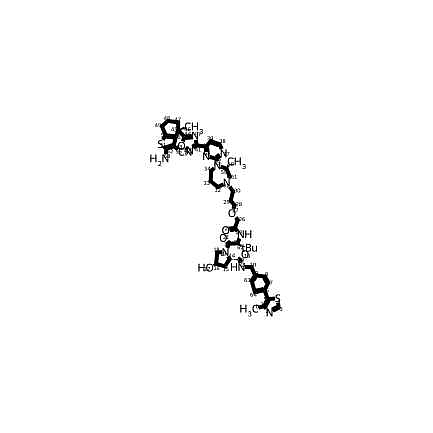 Cc1ncsc1-c1ccc(CNC(=O)[C@@H]2C[C@@H](O)CN2C(=O)[C@@H](NC(=O)COCCCN2CCCN(c3nccc(-c4noc([C@@]5(C)CCCc6sc(N)c(C#N)c65)n4)n3)[C@@H](C)C2)C(C)(C)C)cc1